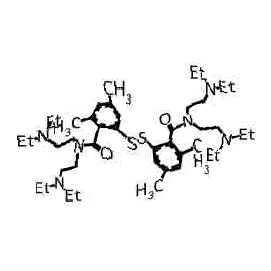 CCN(CC)CCN(CCN(CC)CC)C(=O)c1c(C)cc(C)cc1SSc1cc(C)cc(C)c1C(=O)N(CCN(CC)CC)CCN(CC)CC